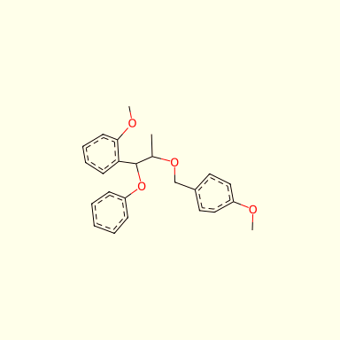 COc1ccc(COC(C)C(Oc2ccccc2)c2ccccc2OC)cc1